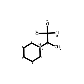 [CH2]C([SH]1CCCCC1)C(Cl)(Cl)Cl